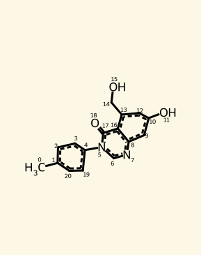 Cc1ccc(-n2cnc3cc(O)cc(CO)c3c2=O)cc1